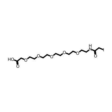 O=C(O)COCCOCCOCCOCCOCCNC(=O)CI